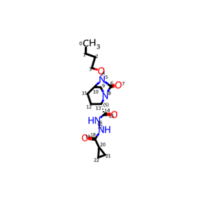 CCCCON1C(=O)N2CC1CC[C@H]2C(=O)NNC(=O)C1CC1